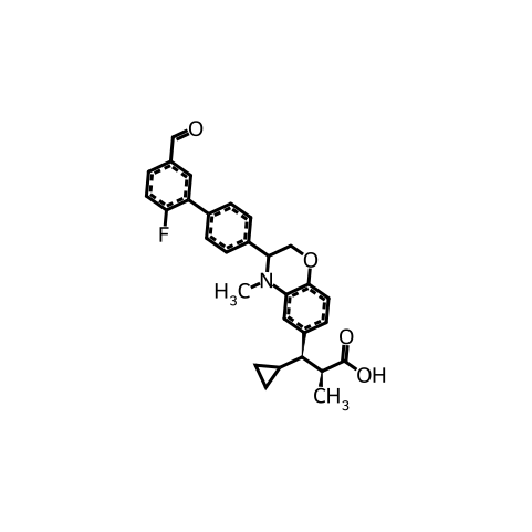 C[C@H](C(=O)O)[C@H](c1ccc2c(c1)N(C)C(c1ccc(-c3cc(C=O)ccc3F)cc1)CO2)C1CC1